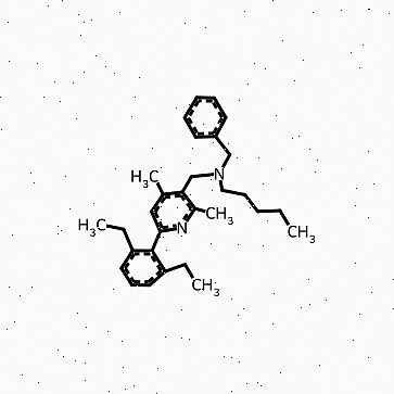 CCCCCN(Cc1ccccc1)Cc1c(C)cc(-c2c(CC)cccc2CC)nc1C